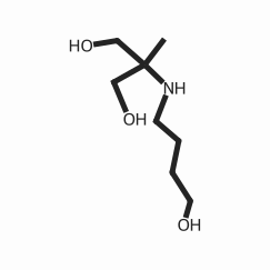 CC(CO)(CO)NCCCCO